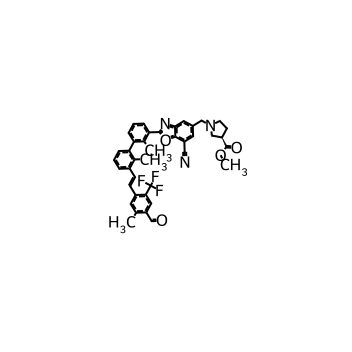 COC(=O)[C@@H]1CCN(Cc2cc(C#N)c3oc(-c4cccc(-c5cccc(/C=C/c6cc(C)c(C=O)cc6C(F)(F)F)c5C)c4C)nc3c2)C1